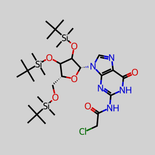 CC(C)(C)[Si](C)(C)OC[C@H]1O[C@@H](n2cnc3c(=O)[nH]c(NC(=O)CCl)nc32)C(O[Si](C)(C)C(C)(C)C)C1O[Si](C)(C)C(C)(C)C